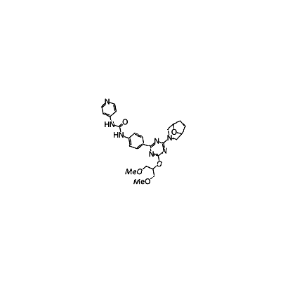 COCC(COC)Oc1nc(-c2ccc(NC(=O)Nc3ccncc3)cc2)nc(N2CC3CCC(C2)O3)n1